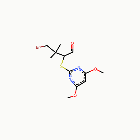 COc1cc(OC)nc(SC(C=O)C(C)(C)CBr)n1